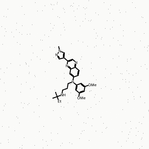 CCC(C)(C)NCCCN(c1cc(OC)cc(OC)c1)c1ccc2ncc(-c3cnn(C)c3)nc2c1